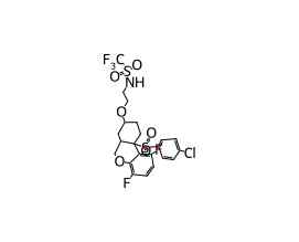 O=S(=O)(NCCOC1CCC2(S(=O)(=O)c3ccc(Cl)cc3)c3c(F)ccc(F)c3OCC2C1)C(F)(F)F